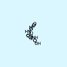 O=C(Nc1ccc(N2CCOCC2)nc1)c1cccc2cnc(N[C@H]3CC[C@H](O)CC3)nc12